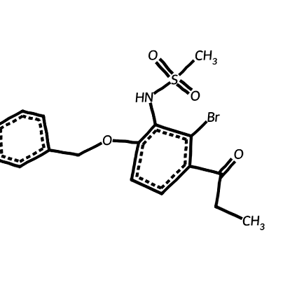 CCC(=O)c1ccc(OCc2ccccc2)c(NS(C)(=O)=O)c1Br